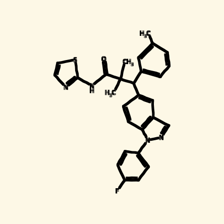 Cc1cccc(C(c2ccc3c(cnn3-c3ccc(F)cc3)c2)C(C)(C)C(=O)Nc2nccs2)c1